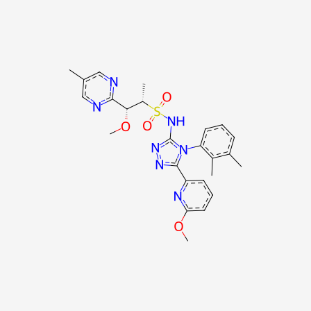 COc1cccc(-c2nnc(NS(=O)(=O)[C@@H](C)[C@H](OC)c3ncc(C)cn3)n2-c2cccc(C)c2C)n1